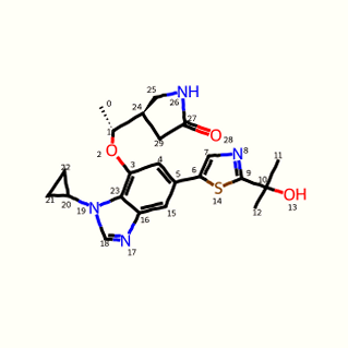 C[C@@H](Oc1cc(-c2cnc(C(C)(C)O)s2)cc2ncn(C3CC3)c12)[C@H]1CNC(=O)C1